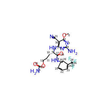 COc1nc(N)nc(N[C@@H](CCCOC(N)=O)C(=O)Nc2cccc(C(F)(F)F)c2)c1C#N